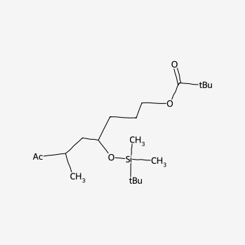 CC(=O)C(C)CC(CCCOC(=O)C(C)(C)C)O[Si](C)(C)C(C)(C)C